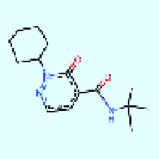 CC(C)(C)NC(=O)c1ccnn(C2CCCCC2)c1=O